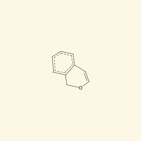 [c]1cccc2c1COC=C2